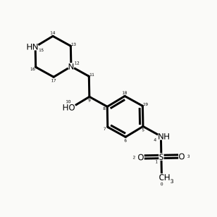 CS(=O)(=O)Nc1ccc(C(O)CN2CCNCC2)cc1